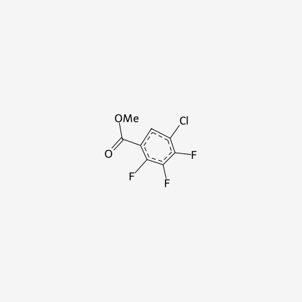 COC(=O)c1cc(Cl)c(F)c(F)c1F